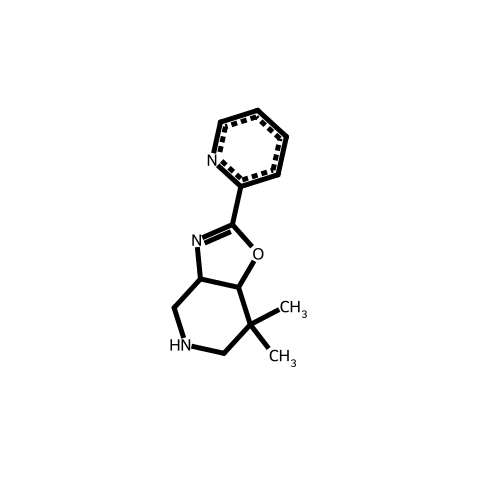 CC1(C)CNCC2N=C(c3ccccn3)OC21